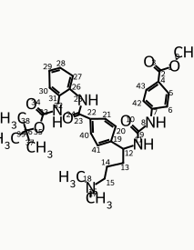 COC(=O)c1ccc(NC(=O)NC(CCCN(C)C)c2ccc(C(=O)Nc3ccccc3NC(=O)OC(C)(C)C)cc2)cc1